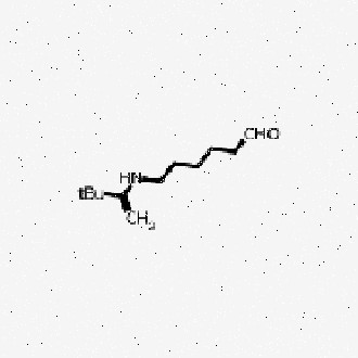 C=C(NCCCCCC=O)C(C)(C)C